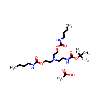 CC(=O)O.CCCCNC(=O)OCCN(CCNC(=O)OC(C)(C)C)CCOC(=O)NCCCC